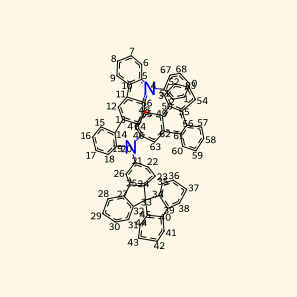 c1ccc(-n2c3ccccc3c3cc(-c4ccccc4N(c4ccc5c(c4)-c4ccccc4C54c5ccccc5-c5ccccc54)c4ccc5c6ccccc6c6ccccc6c5c4)ccc32)cc1